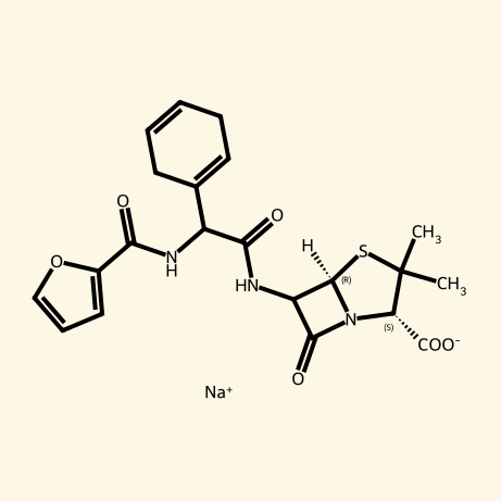 CC1(C)S[C@@H]2C(NC(=O)C(NC(=O)c3ccco3)C3=CCC=CC3)C(=O)N2[C@H]1C(=O)[O-].[Na+]